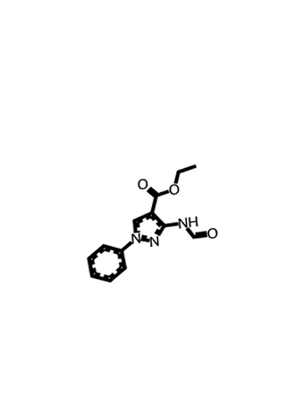 CCOC(=O)c1cn(-c2ccccc2)nc1NC=O